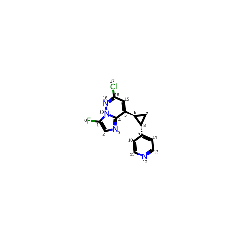 Fc1cnc2c([C@H]3C[C@@H]3c3ccncc3)cc(Cl)nn12